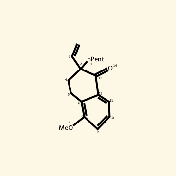 C=CC1(CCCCC)CCc2c(OC)cccc2C1=O